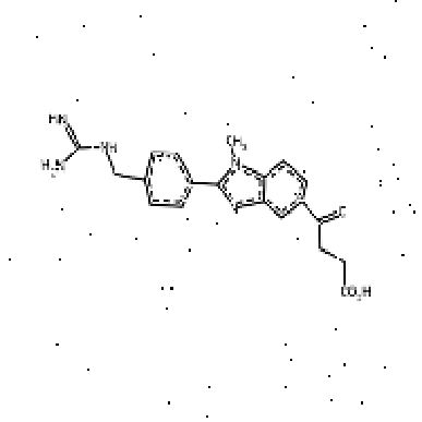 Cn1c(-c2ccc(CNC(=N)N)cc2)nc2cc(C(=O)CCC(=O)O)ccc21